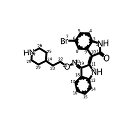 O=C1Nc2ccc(Br)cc2/C1=C1/Nc2ccccc2/C1=N\OCCC1CCNCC1